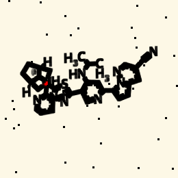 CC(C)Nc1cc(-c2ccc3cc(C#N)cnn23)ncc1-c1nnc(N2C[C@H]3CC[C@@H](C2)C3Nc2ncccc2F)s1